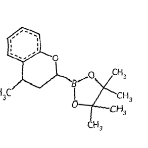 CC1CC(B2OC(C)(C)C(C)(C)O2)Oc2ccccc21